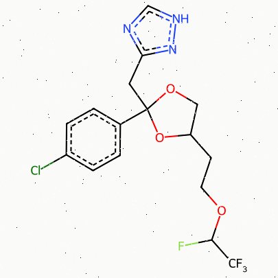 FC(OCCC1COC(Cc2nc[nH]n2)(c2ccc(Cl)cc2)O1)C(F)(F)F